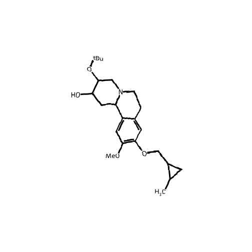 COc1cc2c(cc1OCC1CC1C)CCN1CC(OC(C)(C)C)C(O)CC21